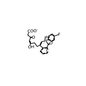 CC(C)[N+]1(c2ccc(F)cc2)C=C(CC/C(O)=C\C(=O)CC(=O)[O-])c2ccccc2C1=O